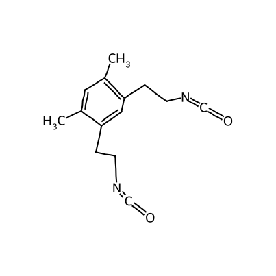 Cc1cc(C)c(CCN=C=O)cc1CCN=C=O